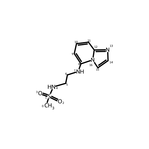 CS(=O)(=O)NCCNc1cccc2nccn12